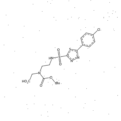 CC(C)(C)OC(=O)N(CCNS(=O)(=O)c1nnc(-c2ccc(Cl)cc2)s1)CC(=O)O